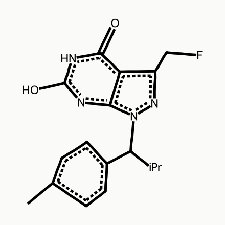 Cc1ccc(C(C(C)C)n2nc(CF)c3c(=O)[nH]c(O)nc32)cc1